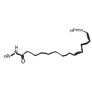 CCCCC/C=C\C/C=C\CCCCCCCC(=O)NCCC